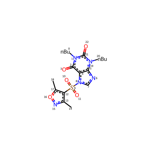 CCCCn1c(=O)c2c(ncn2S(=O)(=O)c2c(C)noc2C)n(CCCC)c1=O